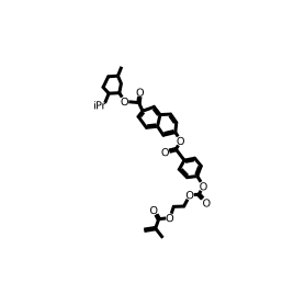 C=C(C)C(=O)OCCOC(=O)Oc1ccc(C(=O)Oc2ccc3cc(C(=O)OC4CC(C)CCC4C(C)C)ccc3c2)cc1